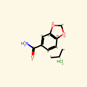 CCC.Cl.NC(=O)c1ccc2c(c1)OCO2